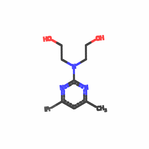 Cc1cc(C(C)C)nc(N(CCO)CCO)n1